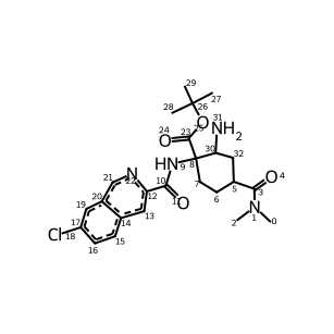 CN(C)C(=O)C1CCC(NC(=O)c2cc3ccc(Cl)cc3cn2)(C(=O)OC(C)(C)C)C(N)C1